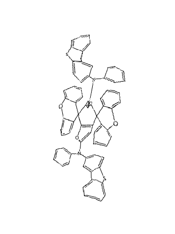 c1ccc(N(c2ccc3sc4ccccc4c3c2)c2cc3c(o2)C2(c4ccccc4Oc4ccccc42)c2cc(N(c4ccccc4)c4ccc5sc6ccccc6c5c4)oc2C32c3ccccc3Oc3ccccc32)cc1